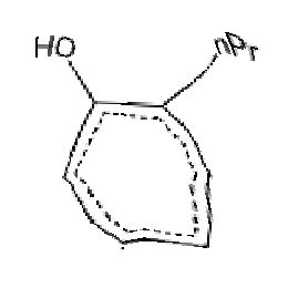 CCCc1cc[c]cc1O